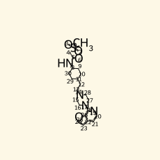 CS(=O)(=O)CC(=O)NC1CCC(CCN2CCN(c3nccc4ccoc34)CC2)CC1